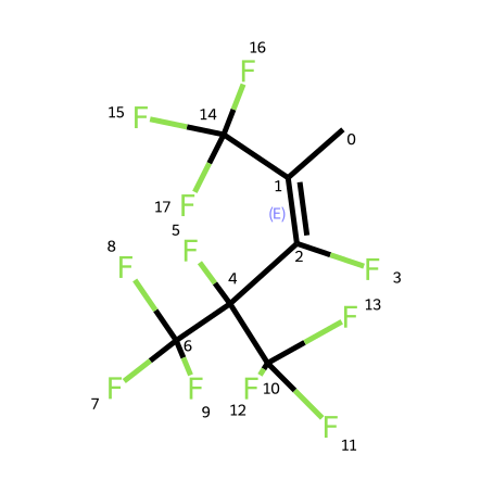 C/C(=C(\F)C(F)(C(F)(F)F)C(F)(F)F)C(F)(F)F